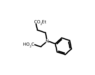 CCOC(=O)CCN(CC(=O)O)c1ccccc1